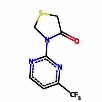 O=C1CSCN1c1nccc(C(F)(F)F)n1